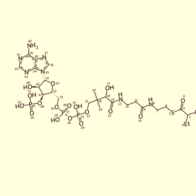 CCC(C(C)=O)C(=O)SCCNC(=O)CCNC(=O)C(O)C(C)(C)COP(=O)(O)OP(=O)(O)OC[C@H]1O[C@@H](n2cnc3c(N)ncnc32)[C@H](O)[C@@H]1OP(=O)(O)O